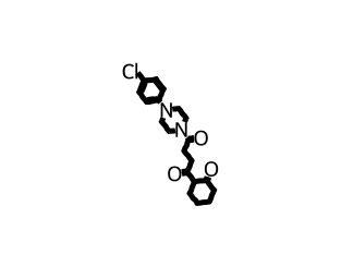 O=C1CCCCC1C(=O)CCC(=O)N1CCN(c2ccc(Cl)cc2)CC1